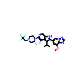 COc1cc(-c2[nH]c3cnc(N4CCN(CC(F)(F)F)C[C@H]4C)c(F)c3c2C(C)C)cn2ncnc12